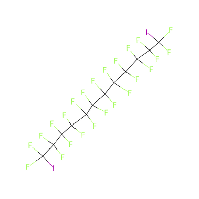 FC(F)(I)C(F)(F)C(F)(F)C(F)(F)C(F)(F)C(F)(F)C(F)(F)C(F)(F)C(F)(F)C(F)(F)C(F)(F)C(F)(F)I